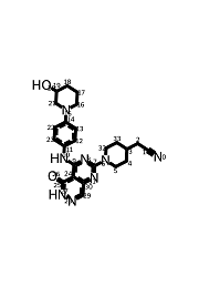 N#CCC1CCN(c2nc(Nc3ccc(N4CCCC(O)C4)cc3)c3c(=O)[nH]ncc3n2)CC1